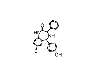 O=C1Nc2ccc(Cl)cc2C(c2ccc(O)cc2)NC1c1ccccc1